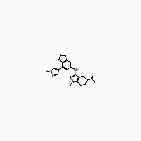 CC(=O)N1CCc2c(c(Nc3cc4c(c(-c5cnn(C)c5)c3)CCC4)nn2C)C1